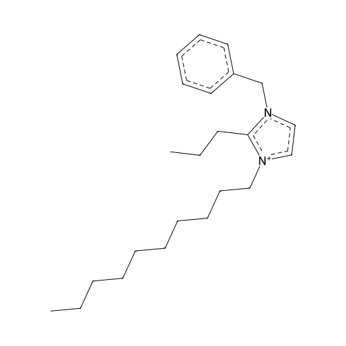 CCCCCCCCCC[n+]1ccn(Cc2ccccc2)c1CCC